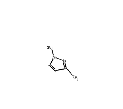 CC(C)(C)n1[c]cc(C(F)(F)F)n1